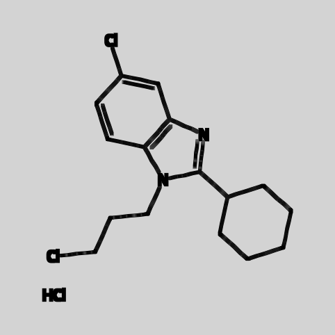 Cl.ClCCCn1c(C2CCCCC2)nc2cc(Cl)ccc21